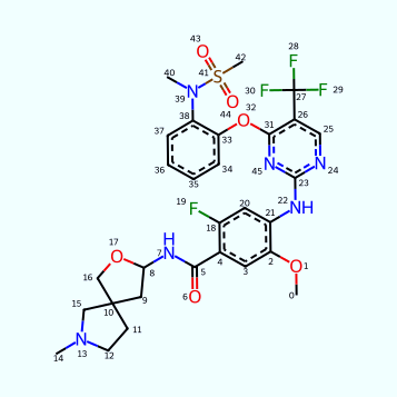 COc1cc(C(=O)NC2CC3(CCN(C)C3)CO2)c(F)cc1Nc1ncc(C(F)(F)F)c(Oc2ccccc2N(C)S(C)(=O)=O)n1